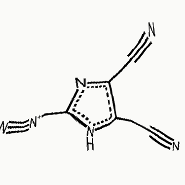 N#Cc1nc([N+]#N)[nH]c1C#N